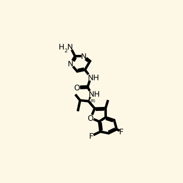 Cc1c([C@H](NC(=O)Nc2cnc(N)nc2)C(C)C)oc2c(F)cc(F)cc12